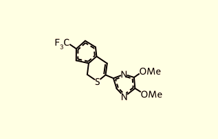 COc1ncc(C2=Cc3ccc(C(F)(F)F)cc3CS2)nc1OC